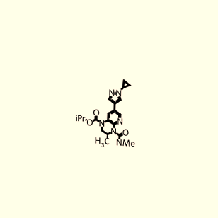 CNC(=O)N1c2ncc(-c3cnn(C4CC4)c3)cc2N(C(=O)OC(C)C)C[C@@H]1C